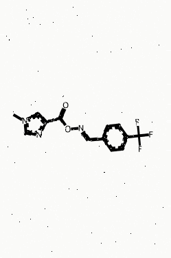 Cn1cnc(C(=O)ON=Cc2ccc(C(F)(F)F)cc2)c1